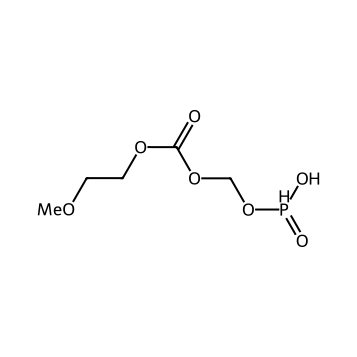 COCCOC(=O)OCO[PH](=O)O